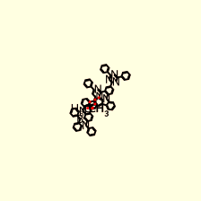 CC(C)(C)c1ccc2c(c1)c1ccccc1n2-c1ccc(-c2nc(-c3ccccc3)nc(-c3ccccc3)n2)cc1-c1nc(-c2ccccc2)cc(-c2ccc(-c3ccc4c5c3N(c3ccccc3)c3ccccc3B5c3ccccc3N4c3ccccc3)cc2)n1